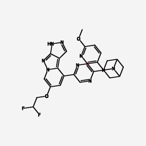 COc1ccc(CN2C3CC2CN(c2cnc(-c4cc(OCC(F)F)cn5nc6[nH]ncc6c45)cn2)C3)cn1